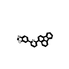 c1cc(-c2ccc3ncoc3c2)nc(-c2ccc3c4c(cccc24)-c2ccccc2-3)c1